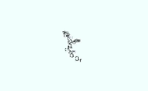 CC(C)(C)OC(=O)NCCC[C@H](CNC(=O)C1Cc2ccc(-c3ccc(F)cc3)cc2N1)NC(=O)OC(C)(C)C